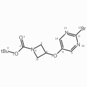 CC(C)(C)OC(=O)N1CC(Oc2cnc(Br)nc2)C1